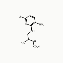 CC(CNc1nc(Cl)ncc1[N+](=O)[O-])NC(=O)O